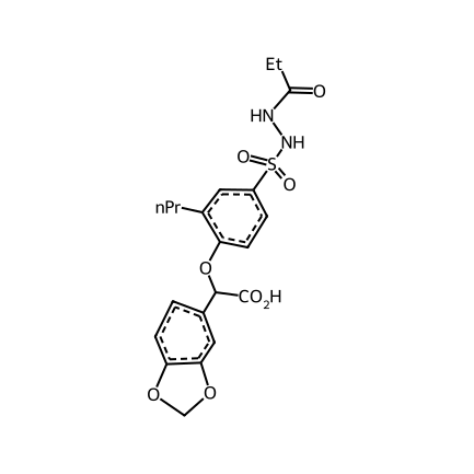 CCCc1cc(S(=O)(=O)NNC(=O)CC)ccc1OC(C(=O)O)c1ccc2c(c1)OCO2